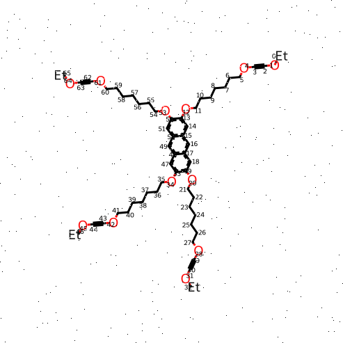 CCOC#COCCCCCCCOc1cc2cc3cc(OCCCCCCCOC#COCC)c(OCCCCCCCOC#COCC)cc3cc2cc1OCCCCCCCOC#COCC